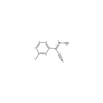 Cc1cccc(/C(C#N)=N/O)c1